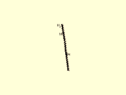 CCCCCCCCCCCCCCCCCCNCCCCCCCCCCCCCCCCCCNCCCCCCCCCN